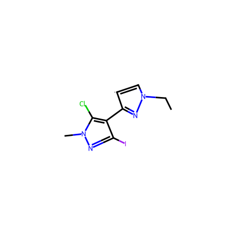 CCn1c[c]c(-c2c(I)nn(C)c2Cl)n1